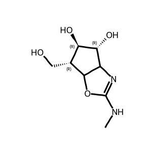 CNC1=NC2C(O1)[C@H](CO)[C@@H](O)[C@@H]2O